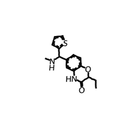 CCC1Oc2ccc(C(NC)c3cccs3)cc2NC1=O